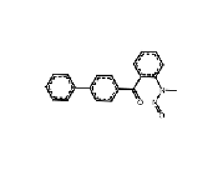 CN(N=O)c1ccccc1C(=O)c1ccc(-c2ccccc2)cc1